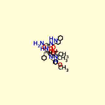 COc1ccc(CN(C[C@H](O)[C@H](Cc2ccccc2)NC(=O)[C@@H](CC(N)=O)NC(=O)c2ccc3ccccc3n2)C(=O)NC(C)(C)C)cc1